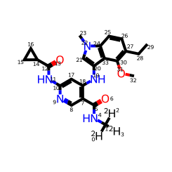 [2H]C([2H])([2H])NC(=O)c1cnc(NC(=O)C2CC2)cc1Nc1cn(C)c2ccc(CC)c(OC)c12